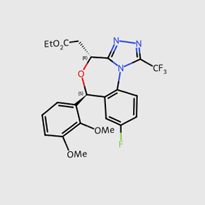 CCOC(=O)C[C@H]1O[C@H](c2cccc(OC)c2OC)c2cc(F)ccc2-n2c1nnc2C(F)(F)F